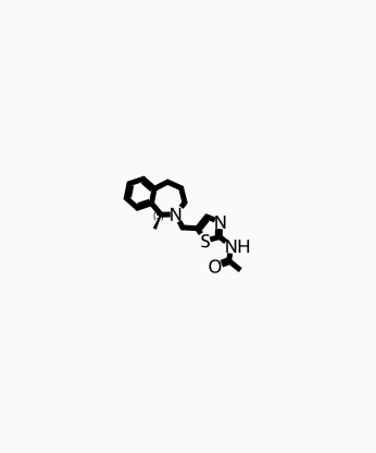 CC(=O)Nc1ncc(CN2CCCc3ccccc3[C@@H]2C)s1